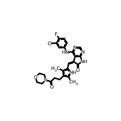 Cc1[nH]c(/C=C2\C(=O)Nc3ncnc(Nc4ccc(F)c(Cl)c4)c32)c(C)c1CCC(=O)N1CCOCC1